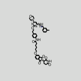 Cc1cccc(/C=N/Nc2cc(N3CCOCC3)nc(OCCc3ccc(NC(=O)CCCCCOc4ccc5c(c4)C(=O)N(C4CCC(=O)NC4=O)C5=O)cc3)n2)c1